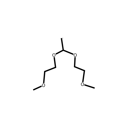 [CH2]C(OCCOC)OCCOC